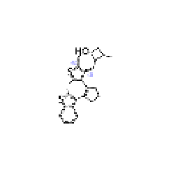 C/C=c1/sc(C)c(C2=C(c3c(C)sc4ccccc34)CCC2)/c1=C/C1C(C)CC1O